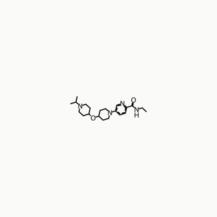 CCNC(=O)c1ccc(N2CCC(OC3CCN(C(C)C)CC3)CC2)cn1